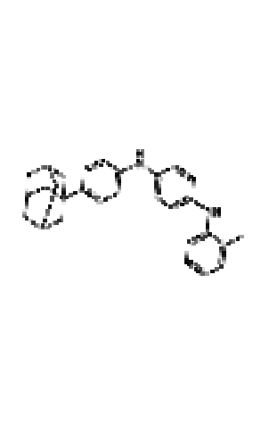 Cc1ccccc1Nc1ccc(Nc2ccc(C34CC5CC(CC(C5)C3)C4)cc2)cc1